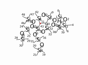 C[SiH](O[Si](C)(C)C)O[Si](C)(CC[Si](O[Si](C)(C)O[Si](C)(C)C)(O[Si](C)(C)O[Si](C)(C)C)O[Si](C)(C)O[Si](C)(C)C)O[Si](C)(C)O[Si](C)(C)C